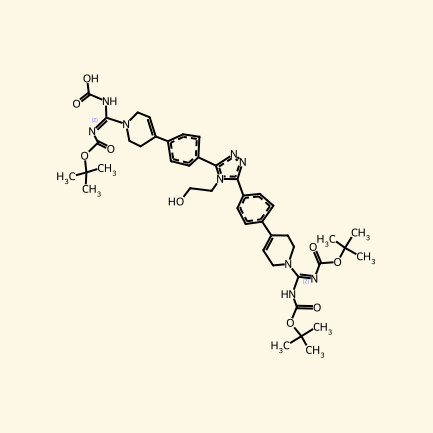 CC(C)(C)OC(=O)/N=C(/NC(=O)O)N1CC=C(c2ccc(-c3nnc(-c4ccc(C5=CCN(/C(=N\C(=O)OC(C)(C)C)NC(=O)OC(C)(C)C)CC5)cc4)n3CCO)cc2)CC1